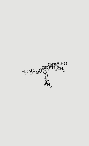 C=CC(=O)OCCOc1ccc(C(C)(c2ccc(OCCOC(=O)C=C)cc2)c2ccc(C(C)(C)c3ccc(OC(C=O)C(=O)C=C)cc3)cc2)cc1